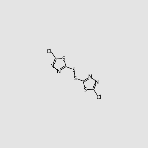 Clc1nnc(SSc2nnc(Cl)s2)s1